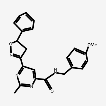 COc1ccc(CNC(=O)c2cc(C3=NOC(c4ccccc4)C3)nc(C)n2)cc1